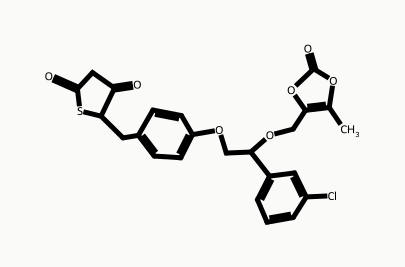 Cc1oc(=O)oc1COC(COc1ccc(CC2SC(=O)CC2=O)cc1)c1cccc(Cl)c1